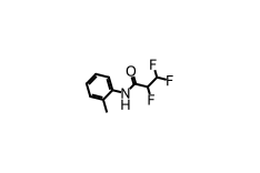 Cc1ccccc1NC(=O)C(F)C(F)F